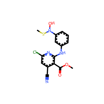 COC(=O)c1c(C#N)cc(Cl)nc1Nc1cccc(N(O)SC)c1